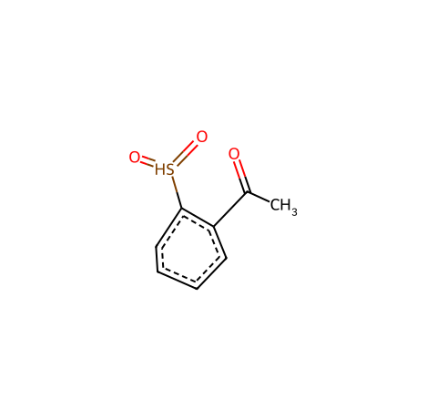 CC(=O)c1ccccc1[SH](=O)=O